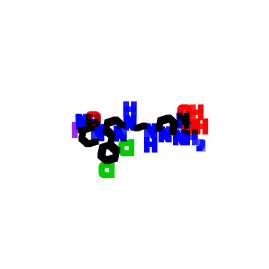 Nc1nc(NCCNc2ccc(N3CCCC(N)(I)C3=O)c(-c3ccc(Cl)cc3Cl)n2)ccc1N(O)O